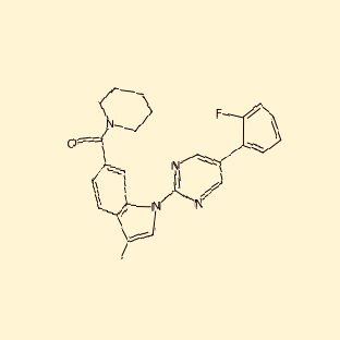 Cc1cn(-c2ncc(-c3ccccc3F)cn2)c2cc(C(=O)N3CCCCC3)ccc12